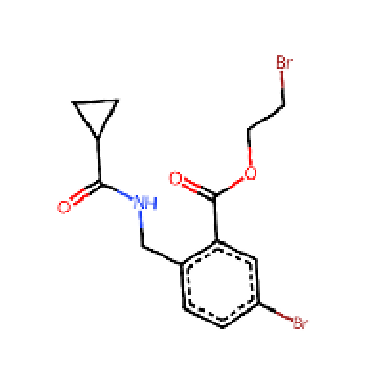 O=C(OCCBr)c1cc(Br)ccc1CNC(=O)C1CC1